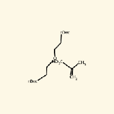 C=C(C)C(=O)O.CCCCCCCCCCCCOCCCCCCCCCCCC